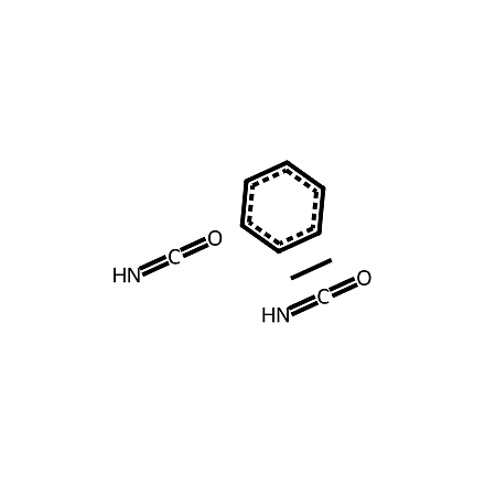 CC.N=C=O.N=C=O.c1ccccc1